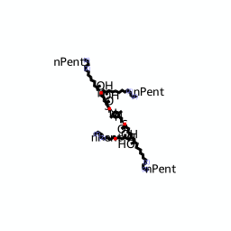 CCCCC/C=C\C/C=C\CCCCCCC(O)CN(CCCC(=O)SCCN1CC(C)N(CCSC(=O)CCCN(CC(O)CCCCCC/C=C\C/C=C\CCCCC)CC(O)CCCCCC/C=C\C/C=C\CCCCC)CC1C)CC(O)CCCCCC/C=C\C/C=C\CCCCC